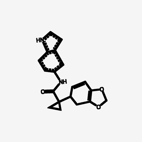 O=C(Nc1ccc2[nH]ccc2c1)C1(C2C=CC3=C(C2)OCO3)CC1